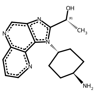 C[C@@H](O)c1nc2cnc3cccnc3c2n1[C@H]1CC[C@H](N)CC1